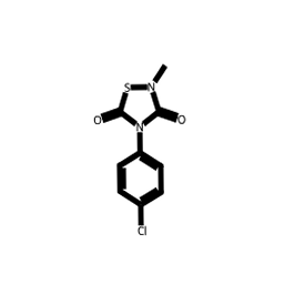 Cn1sc(=O)n(-c2ccc(Cl)cc2)c1=O